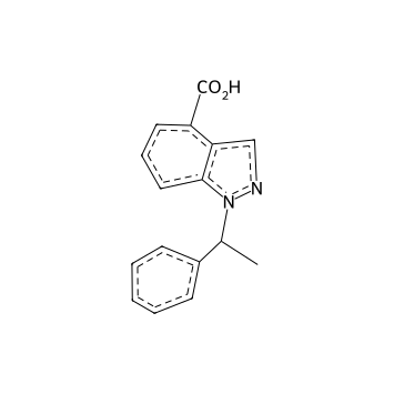 CC(c1ccccc1)n1ncc2c(C(=O)O)cccc21